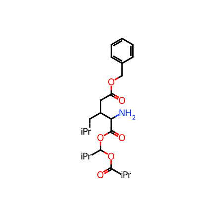 CC(C)CC(CC(=O)OCc1ccccc1)C(N)C(=O)OC(OC(=O)C(C)C)C(C)C